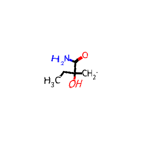 [CH2]C(O)(CC)C(N)=O